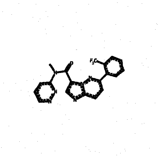 CN(C(=O)c1cnc2ccc(-c3ccccc3C(F)(F)F)nn12)c1cccnn1